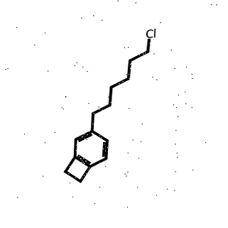 ClCCCCCCc1ccc2c(c1)CC2